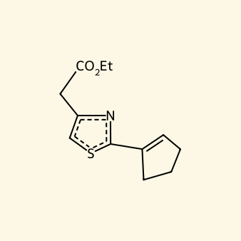 CCOC(=O)Cc1csc(C2=CCCC2)n1